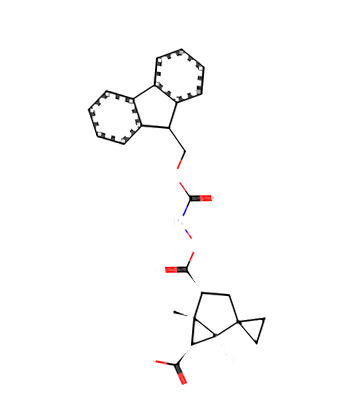 O=C(NOC(=O)[C@H]1CC2(CC2)[C@H]2[C@@H](C(=O)O)[C@@H]21)OCC1c2ccccc2-c2ccccc21